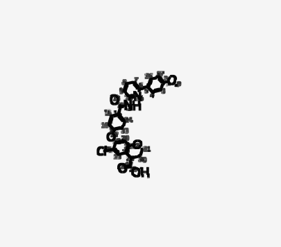 COc1ccc(-c2cccc(NC(=O)c3ccc(Oc4cc5c(cc4Cl)C(C(=O)O)CCO5)cc3)n2)cc1